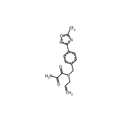 C=CCN(Cc1ccc(-c2noc(C(F)(F)F)n2)cc1)C(=O)C(N)=O